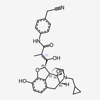 C/C(C(=O)Nc1ccc(CC#N)cc1)=C(/O)[C@@H]1Oc2c(O)ccc3c2[C@@]12CCN(CC1CC1)[C@H](C3)[C@@]2(C)O